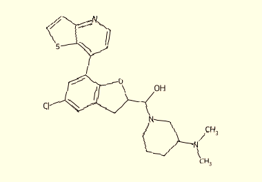 CN(C)C1CCCN(C(O)C2Cc3cc(Cl)cc(-c4ccnc5ccsc45)c3O2)C1